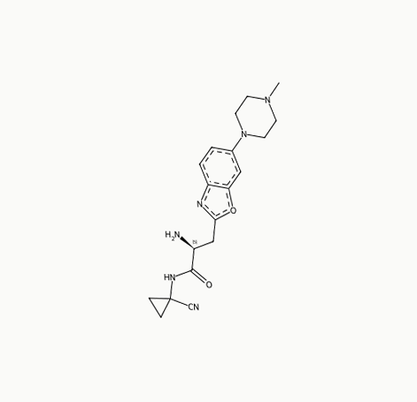 CN1CCN(c2ccc3nc(C[C@H](N)C(=O)NC4(C#N)CC4)oc3c2)CC1